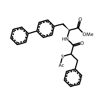 COC(=O)[C@H](Cc1ccc(-c2ccccc2)cc1)NC(=O)C(Cc1ccccc1)SC(C)=O